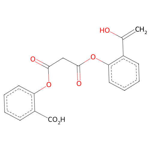 C=C(O)c1ccccc1OC(=O)CC(=O)Oc1ccccc1C(=O)O